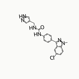 Cn1nc(-c2ccc(NC(=O)NCc3cn[nH]c3)cc2)c2cc(Cl)ccc21